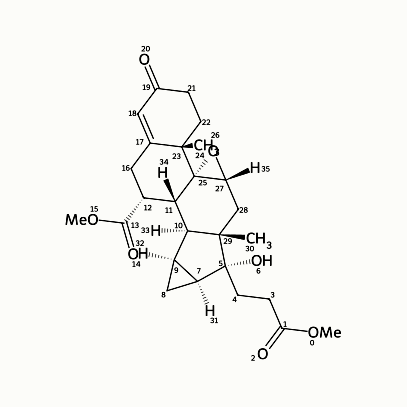 COC(=O)CC[C@@]1(O)[C@H]2C[C@H]2[C@H]2[C@@H]3[C@H](C(=O)OC)CC4=CC(=O)CC[C@]4(C)[C@]34O[C@@H]4C[C@@]21C